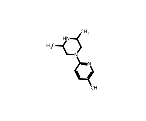 Cc1ccc(N2CC(C)NC(C)C2)nc1